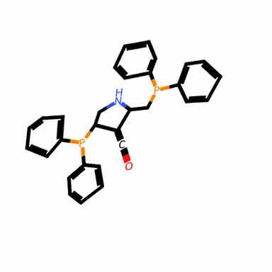 O=C=C1C(CP(c2ccccc2)c2ccccc2)NCC1P(c1ccccc1)c1ccccc1